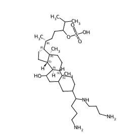 CC(C)C(CC[C@@H](C)[C@H]1CC[C@H]2[C@@H]3C(O)CC4CC(C(CCCN)NCCCN)CC[C@]4(C)[C@H]3CC[C@]12C)OS(=O)(=O)O